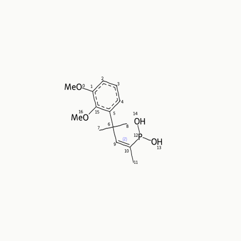 COc1cccc(C(C)(C)/C=C(/C)P(O)O)c1OC